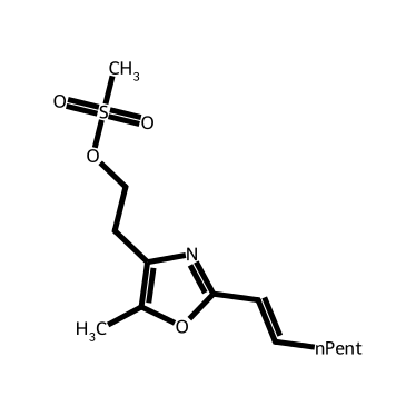 CCCCC/C=C/c1nc(CCOS(C)(=O)=O)c(C)o1